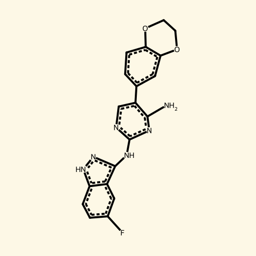 Nc1nc(Nc2n[nH]c3ccc(F)cc23)ncc1-c1ccc2c(c1)OCCO2